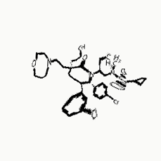 CC[C@@H](CN(C)S(=O)(=O)C1CC1)N1C(=O)[C@](CCO)(CCN2CCOCC2)C[C@H](c2cccc(Cl)c2)[C@H]1c1ccc(Cl)cc1